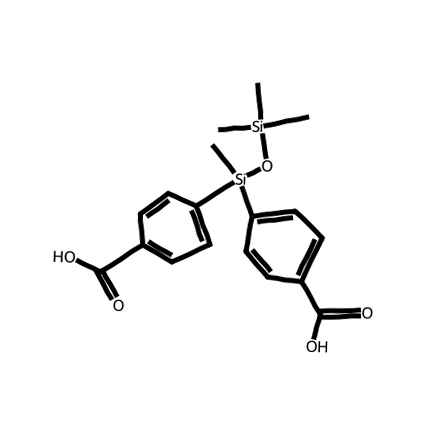 C[Si](C)(C)O[Si](C)(c1ccc(C(=O)O)cc1)c1ccc(C(=O)O)cc1